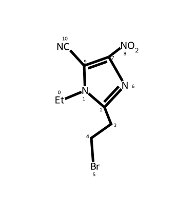 CCn1c(CCBr)nc([N+](=O)[O-])c1C#N